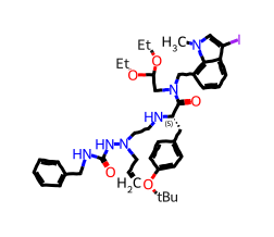 C=CCN(CCN[C@@H](Cc1ccc(OC(C)(C)C)cc1)C(=O)N(Cc1cccc2c(I)cn(C)c12)CC(OCC)OCC)NC(=O)NCc1ccccc1